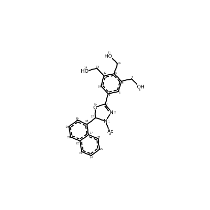 CC(=O)N1N=C(c2cc(CO)c(CO)c(CO)c2)OC1c1cccc2ccccc12